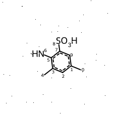 Cc1cc(C)c([NH])c(S(=O)(=O)O)c1